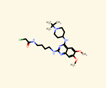 COc1cc2nc(NCCCCNC(=O)CCl)nc(NC3CCN(C(C)(C)C)CC3)c2cc1OC